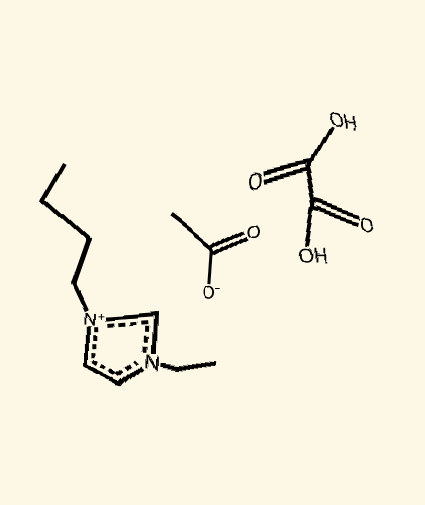 CC(=O)[O-].CCCC[n+]1ccn(C)c1.O=C(O)C(=O)O